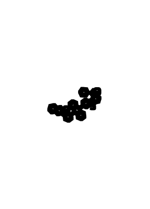 c1ccc(-c2coc3ccc4sc5cc(-c6c7ccccc7c(-c7cccc8c7oc7cc9ccccc9cc78)c7ccccc67)ccc5c4c23)cc1